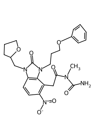 CN(C(N)=O)C(=O)Cc1c([N+](=O)[O-])ccc2c1n(CCCOc1ccccc1)c(=O)n2CC1CCCO1